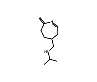 C=C1CCC(CNC(C)C)CC=N1